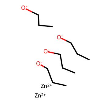 CCC[O-].CCC[O-].CCC[O-].CCC[O-].[Zn+2].[Zn+2]